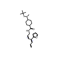 C=C/C=C(\C=C/CNC(=O)C1CCC(N(C)SC(C)(C)C)CC1)c1ccco1